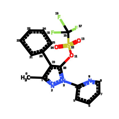 Cc1nn(-c2ccccn2)c(OS(=O)(=O)C(F)(F)F)c1-c1ccccc1